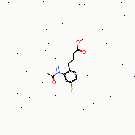 COC(=O)CCCc1ccc(F)cc1NC(C)=O